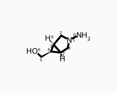 NN1C[C@@H]2[C@H](CO)[C@@H]2C1